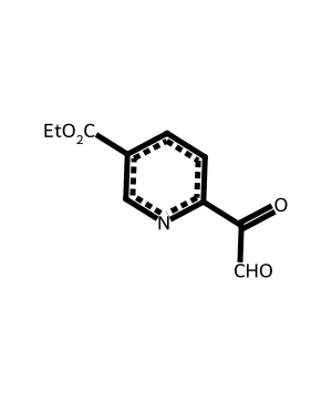 CCOC(=O)c1ccc(C(=O)C=O)nc1